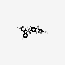 Cc1cc(Nc2cc(F)c(S(=O)(=O)n3c(C)c(CC(=O)O)c4cc(F)ccc43)cc2F)no1